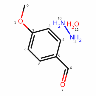 COc1ccc(C=O)cc1.NN.O